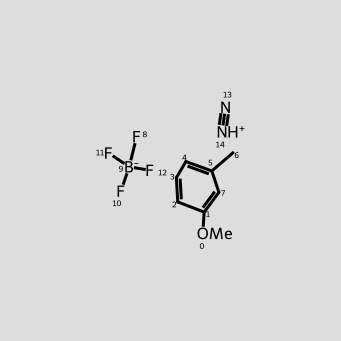 COc1cccc(C)c1.F[B-](F)(F)F.N#[NH+]